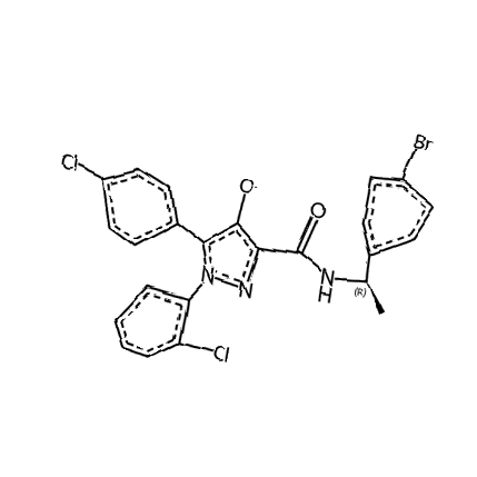 C[C@@H](NC(=O)c1nn(-c2ccccc2Cl)c(-c2ccc(Cl)cc2)c1[O])c1ccc(Br)cc1